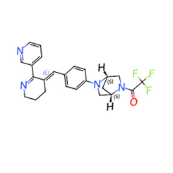 O=C(N1C[C@@H]2C[C@H]1CN2c1ccc(/C=C2\CCCN=C2c2cccnc2)cc1)C(F)(F)F